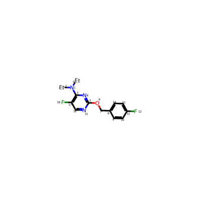 CCN(CC)c1nc(OCc2ccc(F)cc2)ncc1F